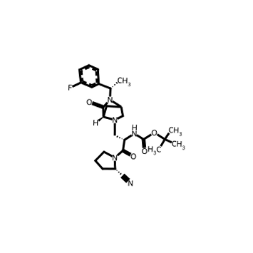 C[C@@H](c1cccc(F)c1)N1C(=O)[C@@H]2CC1CN2C[C@H](NC(=O)OC(C)(C)C)C(=O)N1CCC[C@H]1C#N